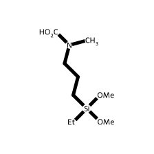 CC[Si](CCCN(C)C(=O)O)(OC)OC